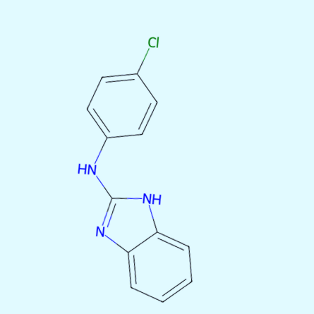 Clc1ccc(Nc2nc3ccccc3[nH]2)cc1